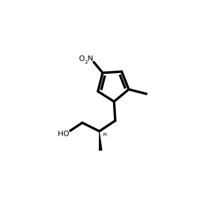 CC1=CC([N+](=O)[O-])=CC1C[C@@H](C)CO